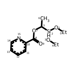 CCO[SiH](OCC)C(C)OC(=O)c1ccccn1